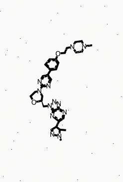 CC1C(c2cnc3nnn(C[C@@H]4CN(c5ncc(-c6ccc(OCCN7CCN(C)CC7)cc6)cn5)CCO4)c3n2)C=NN1C